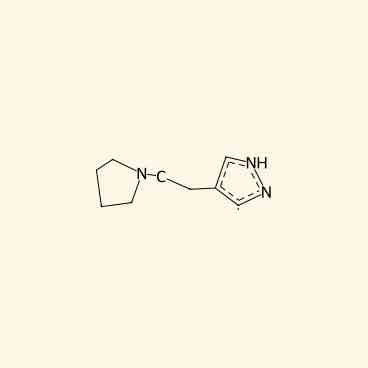 [c]1n[nH]cc1CCN1CCCC1